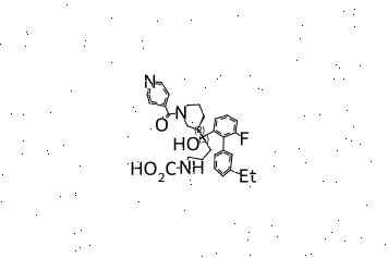 CCc1cccc(-c2c(F)cccc2[C@](O)(CCCNC(=O)O)[C@@H]2CCCN(C(=O)c3ccncc3)C2)c1